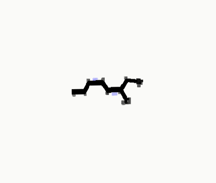 C=C/C=C\C=C(\Cl)CBr